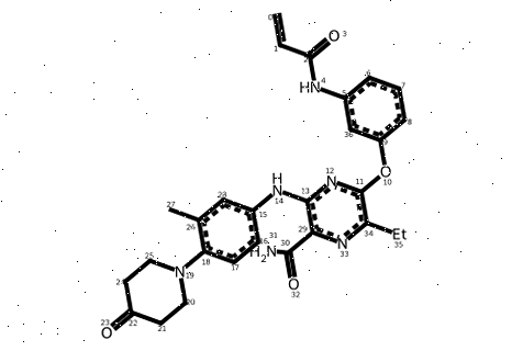 C=CC(=O)Nc1cccc(Oc2nc(Nc3ccc(N4CCC(=O)CC4)c(C)c3)c(C(N)=O)nc2CC)c1